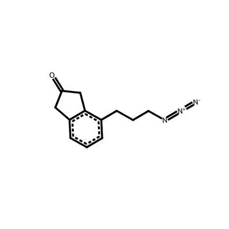 [N-]=[N+]=NCCCc1cccc2c1CC(=O)C2